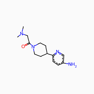 CN(C)CC(=O)N1CCC(c2ccc(N)cn2)CC1